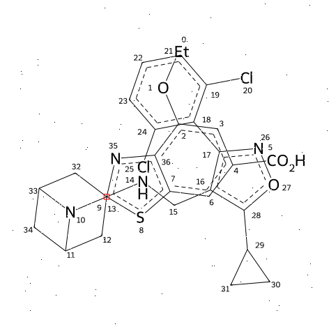 CCOc1cc(C(=O)O)cc2sc(N3C4CC(NCc5c(-c6c(Cl)cccc6Cl)noc5C5CC5)CC3C4)nc12